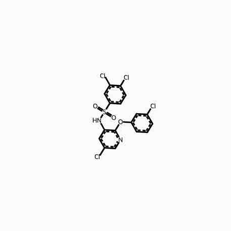 O=S(=O)(Nc1cc(Cl)cnc1Oc1cccc(Cl)c1)c1ccc(Cl)c(Cl)c1